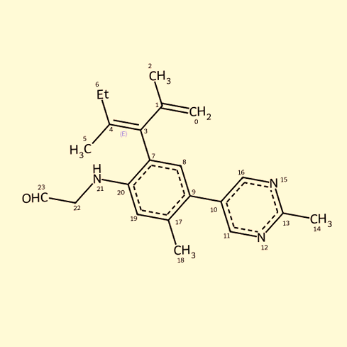 C=C(C)/C(=C(/C)CC)c1cc(-c2cnc(C)nc2)c(C)cc1NCC=O